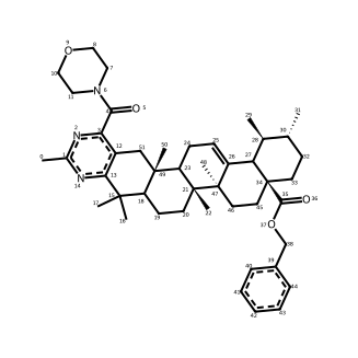 Cc1nc(C(=O)N2CCOCC2)c2c(n1)C(C)(C)C1CC[C@]3(C)C(CC=C4C5[C@@H](C)[C@H](C)CC[C@]5(C(=O)OCc5ccccc5)CC[C@]43C)[C@@]1(C)C2